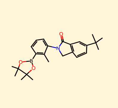 Cc1c(B2OC(C)(C)C(C)(C)O2)cccc1N1Cc2ccc(C(C)(C)C)cc2C1=O